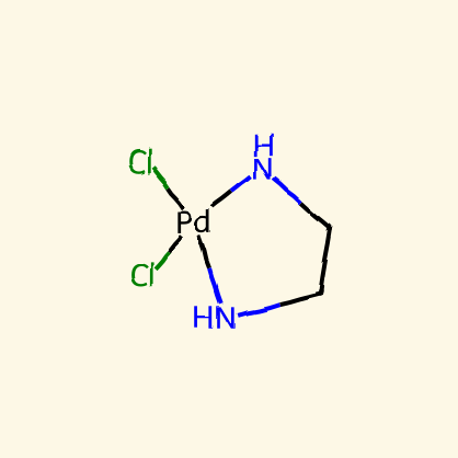 [Cl][Pd]1([Cl])[NH]CC[NH]1